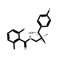 Cc1cccc(F)c1C(=O)NC[C@](C)(F)[C@H](O)c1ccc(F)cc1